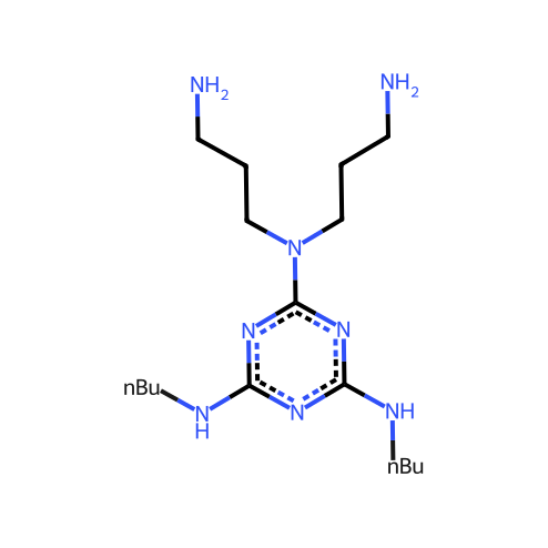 CCCCNc1nc(NCCCC)nc(N(CCCN)CCCN)n1